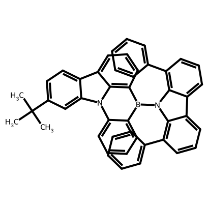 CC(C)(C)c1ccc2c3cccc4c3n(c2c1)-c1ccccc1B4n1c2c(-c3ccccc3)cccc2c2cccc(-c3ccccc3)c21